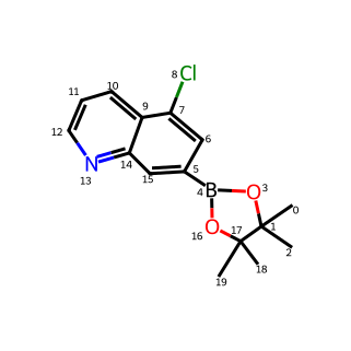 CC1(C)OB(c2cc(Cl)c3cccnc3c2)OC1(C)C